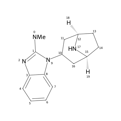 CNc1nc2ccccc2n1C1C[C@H]2CC[C@@H](C1)N2